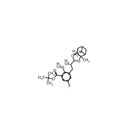 COc1c(C[C@@H](C)B2OC3CC4CC(C4(C)C)[C@]3(C)O2)cc(F)cc1C(=O)OC(C)(C)C